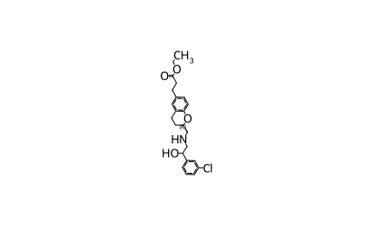 CCOC(=O)CCc1ccc2c(c1)CC[C@H](CNCC(O)c1cccc(Cl)c1)O2